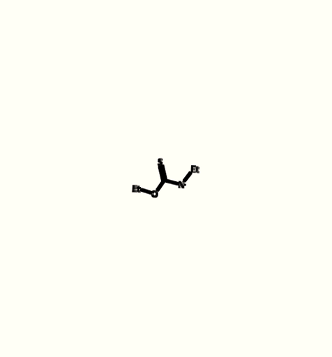 CC[N]C(=S)OCC